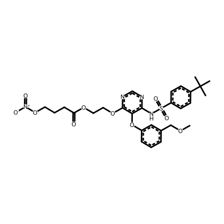 COCc1cccc(Oc2c(NS(=O)(=O)c3ccc(C(C)(C)C)cc3)ncnc2OCCOC(=O)CCCO[N+](=O)[O-])c1